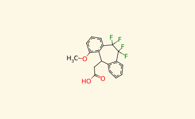 COc1cccc2c1C(CC(=O)O)c1ccccc1C(F)(F)C2(F)F